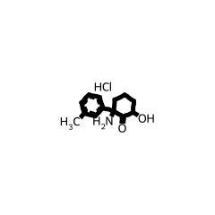 Cc1cccc(C2(N)CCCC(O)C2=O)c1.Cl